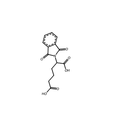 O=C(O)CCCC(C(=O)O)N1C(=O)c2ccccc2C1=O